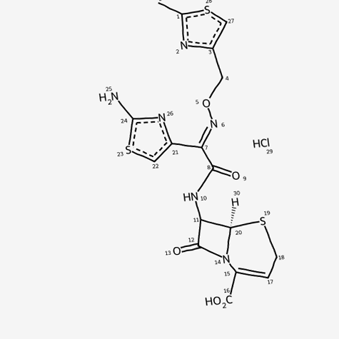 Cc1nc(CO/N=C(/C(=O)NC2C(=O)N3C(C(=O)O)=CCS[C@H]23)c2csc(N)n2)cs1.Cl